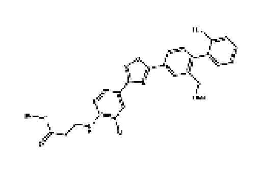 COCc1cc(-c2nc(-c3cnc(NCCC(=O)OC(C)(C)C)c(Cl)c3)no2)ccc1-c1ccccc1C